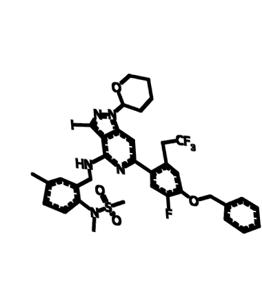 Cc1ccc(N(C)S(C)(=O)=O)c(CNc2nc(-c3cc(F)c(OCc4ccccc4)cc3CC(F)(F)F)cc3c2c(I)nn3C2CCCCO2)c1